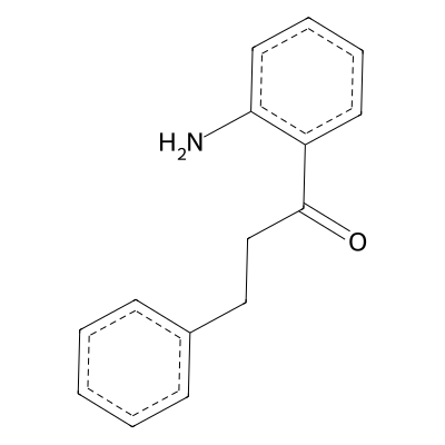 Nc1ccccc1C(=O)CCc1ccccc1